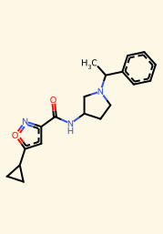 CC(c1ccccc1)N1CCC(NC(=O)c2cc(C3CC3)on2)C1